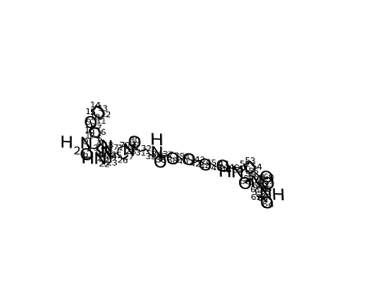 NC(=O)c1c(-c2ccc(Oc3ccccc3)cc2)nn2c1NCC[C@H]2C1CCN(C(=O)CCCNC(=O)COCCOCCOCCOCCNc2cccc3c2C(=O)N(C2CCC(=O)NC2=O)C3=O)CC1